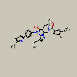 CC1=NC(c2ccc(-n3c(=O)c4c(n5ncc(CC(C)C)c35)CN(C(=O)c3ccc(Br)c(C)c3)[C@H](C)C4)cc2)=CC1